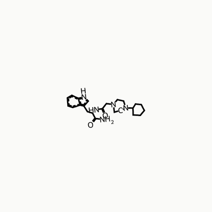 NC(=O)C(Cc1c[nH]c2ccccc12)NC(=O)CN1CCN(C2CCCCC2)CC1